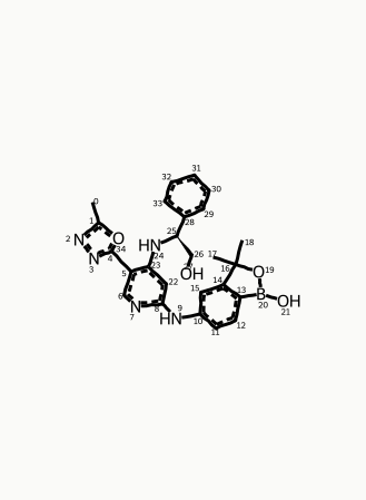 Cc1nnc(-c2cnc(Nc3ccc4c(c3)C(C)(C)OB4O)cc2N[C@H](CO)c2ccccc2)o1